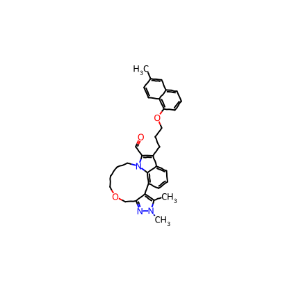 Cc1ccc2c(OCCCc3c(C=O)n4c5c(cccc35)-c3c(nn(C)c3C)COCCCC4)cccc2c1